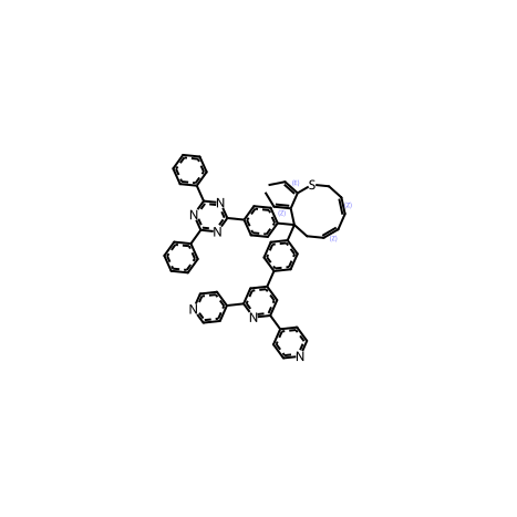 C/C=C1\C(=C/C)SC/C=C\C=C/CC1(c1ccc(-c2cc(-c3ccncc3)nc(-c3ccncc3)c2)cc1)c1ccc(-c2nc(-c3ccccc3)nc(-c3ccccc3)n2)cc1